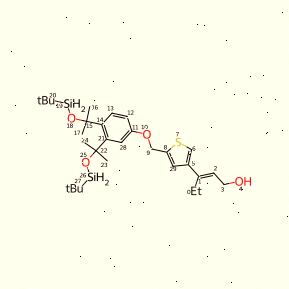 CCC(=CCO)c1csc(COc2ccc(C(C)(C)O[SiH2]C(C)(C)C)c(C(C)(C)O[SiH2]C(C)(C)C)c2)c1